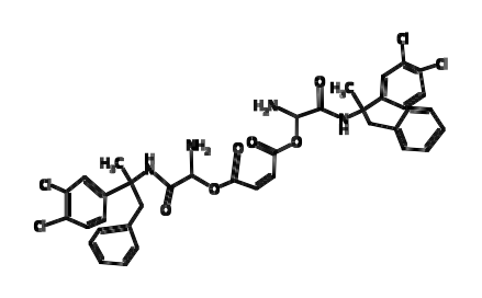 CC(Cc1ccccc1)(NC(=O)C(N)OC(=O)/C=C\C(=O)OC(N)C(=O)NC(C)(Cc1ccccc1)c1ccc(Cl)c(Cl)c1)c1ccc(Cl)c(Cl)c1